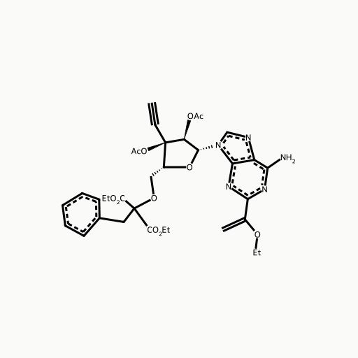 C#C[C@@]1(OC(C)=O)[C@@H](COC(Cc2ccccc2)(C(=O)OCC)C(=O)OCC)O[C@@H](n2cnc3c(N)nc(C(=C)OCC)nc32)[C@@H]1OC(C)=O